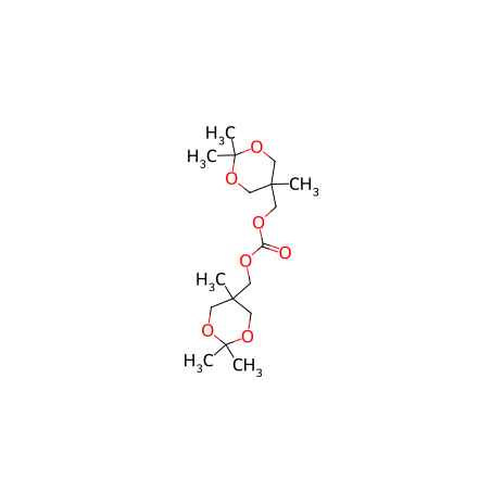 CC1(COC(=O)OCC2(C)COC(C)(C)OC2)COC(C)(C)OC1